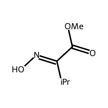 COC(=O)C(=NO)C(C)C